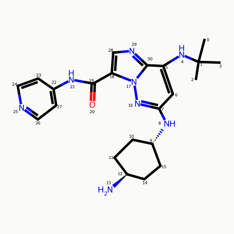 CC(C)(C)Nc1cc(N[C@H]2CC[C@H](N)CC2)nn2c(C(=O)Nc3ccncc3)cnc12